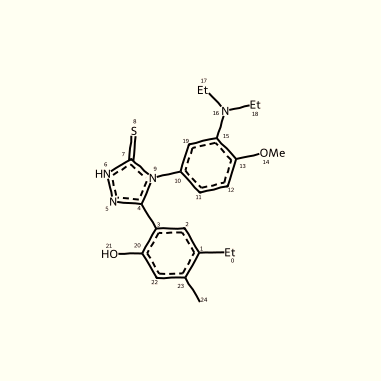 CCc1cc(-c2n[nH]c(=S)n2-c2ccc(OC)c(N(CC)CC)c2)c(O)cc1C